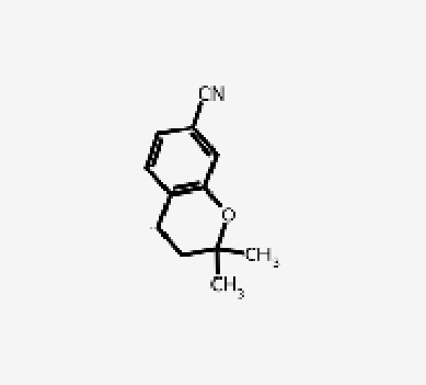 CC1(C)C[CH]c2ccc(C#N)cc2O1